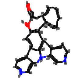 O=c1oc2cc3c4ccncc4n4c5cnccc5c(c2c2ccccc12)c34